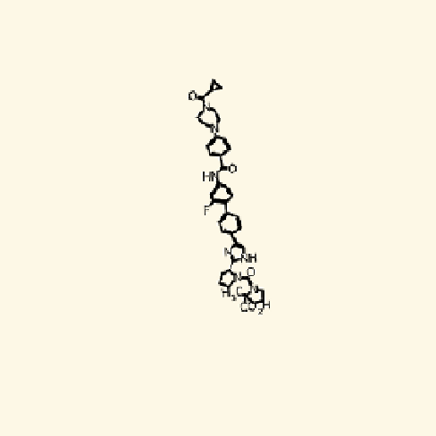 C[C@@]1(C(=O)O)CCCN1C(=O)N1CCC[C@H]1c1nc(-c2ccc(-c3ccc(NC(=O)c4ccc(N5CCN(C(=O)C6CC6)CC5)cc4)cc3F)cc2)c[nH]1